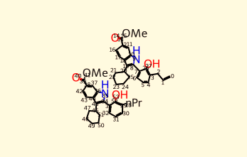 C=CCc1cccc(-c2[nH]c3cc(C(=O)OC)ccc3c2C2CCCCC2)c1O.CCCc1cccc(-c2[nH]c3cc(C(=O)OC)ccc3c2C2CCCCC2)c1O